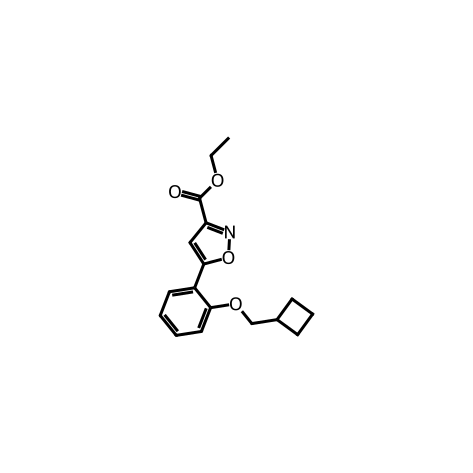 CCOC(=O)c1cc(-c2ccccc2OCC2CCC2)on1